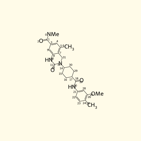 CNC(=O)c1cc(C)c2c(c1)NC(=O)N(C1CCC(C(=O)Nc3ccc(C)c(OC)c3)CC1)C2